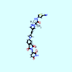 CC(C)(C(=O)Nc1csc(C#N)c1)n1cc(C#CC2CN(c3ccc4c(c3)C(=O)N(C3CCC(=O)NC3=O)C4=O)C2)cn1